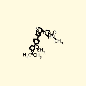 CCNC(=O)N1CCN(c2ccnn3cc(-c4ccc([C@]5(OC)CCCN(C(C)C)C5)cc4)cc23)CC1